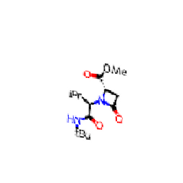 COC(=O)[C@@H]1CC(=O)N1C(C(=O)NC(C)(C)C)C(C)C